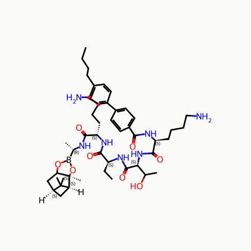 CCCCc1ccc(-c2ccc(C(=O)N[C@@H](CCCCN)C(=O)N[C@H](C(=O)N[C@@H](CC)C(=O)N[C@@H](CCCCN)C(=O)N[C@@H](C)B3OC4C[C@@H]5C[C@@H](C5(C)C)[C@]4(C)O3)C(C)O)cc2)cc1